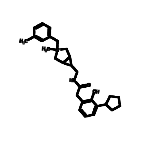 Cc1cccc(C[N+]2(C)CC3C(CNC(=O)Cc4cccc(C5CCCC5)c4O)C3C2)c1